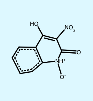 O=C1C([N+](=O)[O-])=C(O)c2ccccc2[NH+]1[O-]